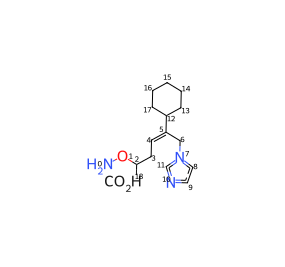 NOC(C/C=C(\Cn1ccnc1)C1CCCCC1)C(=O)O